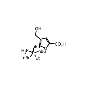 CCCCP(P)(CC)(CCCC)CCCC.O=C(O)c1cc(CO)co1